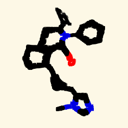 CCc1cc2cccc(C#Cc3cncn3C)c2c(=O)n1-c1ccccc1